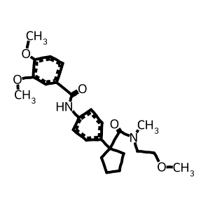 COCCN(C)C(=O)C1(c2ccc(NC(=O)c3ccc(OC)c(OC)c3)cc2)CCCC1